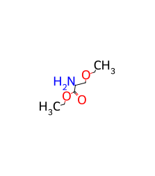 CCOC[C@H](N)C(=O)OCC